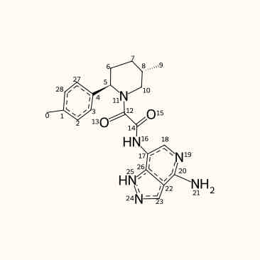 Cc1ccc([C@H]2CC[C@H](C)CN2C(=O)C(=O)Nc2cnc(N)c3cn[nH]c23)cc1